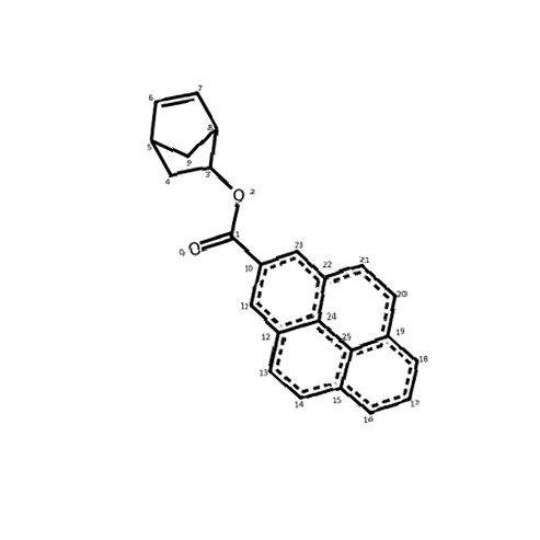 O=C(OC1CC2C=CC1C2)c1cc2ccc3cccc4ccc(c1)c2c34